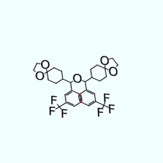 FC(F)(F)c1cccc(C(OC(c2cccc(C(F)(F)F)c2)C2CCC3(CC2)OCCO3)C2CCC3(CC2)OCCO3)c1